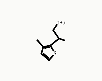 Cc1ccsc1C(C)CC(C)(C)C